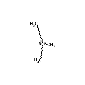 CCCCCCCCCCn1cc[n+](CCCCCCCC)c1CCC